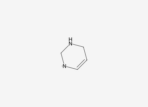 C1=C[N]CNC1